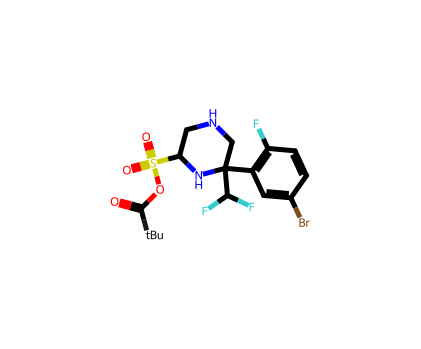 CC(C)(C)C(=O)OS(=O)(=O)C1CNCC(c2cc(Br)ccc2F)(C(F)F)N1